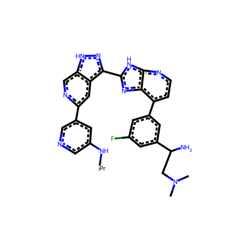 CC(C)Nc1cncc(-c2cc3c(-c4nc5c(-c6cc(F)cc(C(N)CN(C)C)c6)ccnc5[nH]4)n[nH]c3cn2)c1